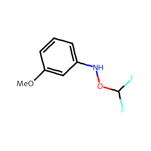 COc1cccc(NOC(F)F)c1